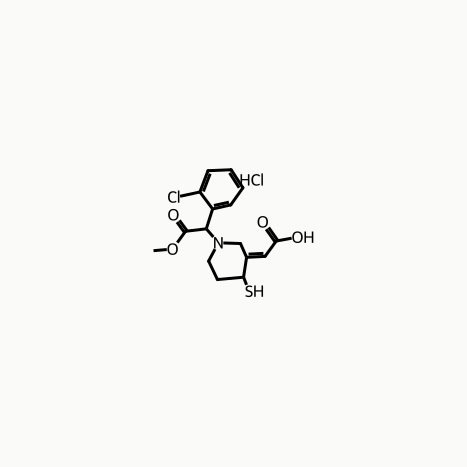 COC(=O)C(c1ccccc1Cl)N1CCC(S)/C(=C/C(=O)O)C1.Cl